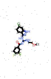 CCOCCN/C(=N/C(=O)c1ccc(F)c(F)c1)Nc1n[nH]c2cc(Cl)ccc12